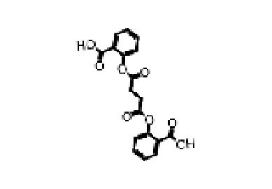 O=C(CCC(=O)Oc1ccccc1C(=O)O)Oc1ccccc1C(=O)O